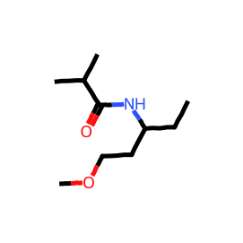 CCC(CCOC)NC(=O)C(C)C